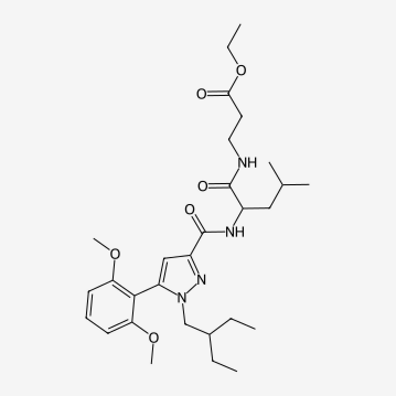 CCOC(=O)CCNC(=O)C(CC(C)C)NC(=O)c1cc(-c2c(OC)cccc2OC)n(CC(CC)CC)n1